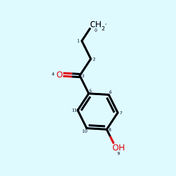 [CH2]CCC(=O)c1ccc(O)cc1